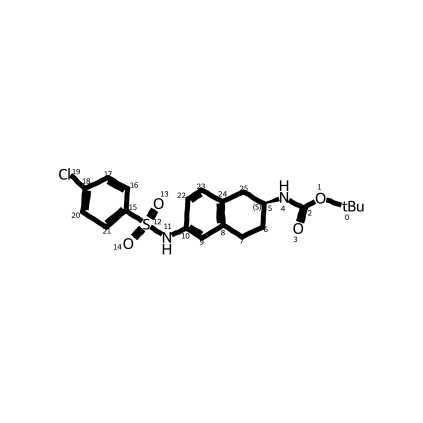 CC(C)(C)OC(=O)N[C@H]1CCc2cc(NS(=O)(=O)c3ccc(Cl)cc3)ccc2C1